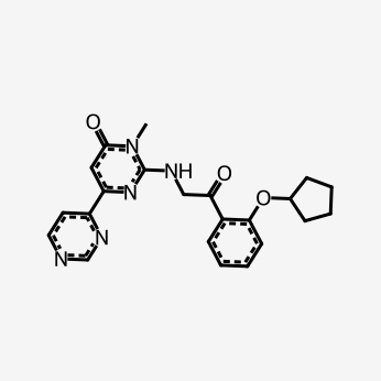 Cn1c(NCC(=O)c2ccccc2OC2CCCC2)nc(-c2ccncn2)cc1=O